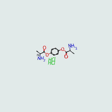 CC(N)C(=O)Oc1ccc(OC(=O)[C@H](C)N)cc1.Cl.Cl